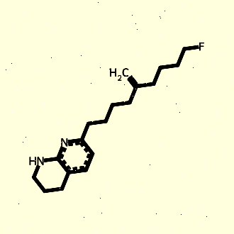 C=C(CCCCF)CCCCc1ccc2c(n1)NCCC2